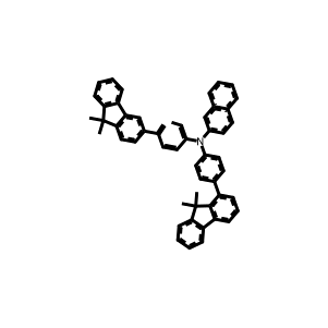 C=C(/C=C\C(=C/C)N(c1ccc(-c2cccc3c2C(C)(C)c2ccccc2-3)cc1)c1ccc2ccccc2c1)c1ccc2c(c1)-c1ccccc1C2(C)C